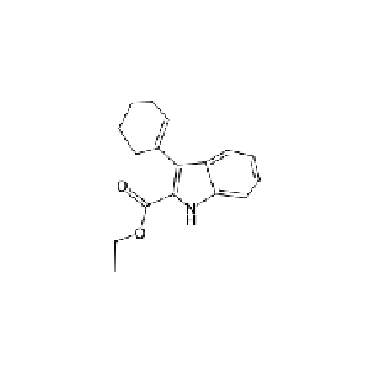 CCOC(=O)c1[nH]c2ccccc2c1C1=CCCCC1